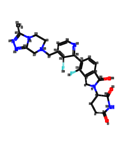 O=C1CCC(N2Cc3c(ccc(-c4nccc(CN5CCn6c(nnc6C(F)(F)F)C5)c4F)c3F)C2=O)C(=O)N1